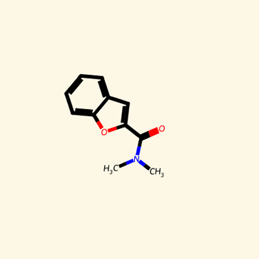 CN(C)C(=O)c1cc2c[c]ccc2o1